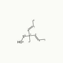 CC=CC(C)(C=CC)SO